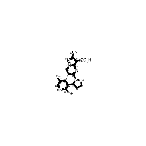 N#Cc1nn2ccc(N3OCCC3c3cc(F)cnc3O)nc2c1C(=O)O